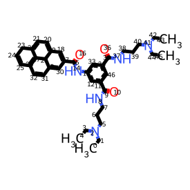 CCN(CC)CCCNC(=O)c1cc(NC(=O)C2=CC3=CC=C4CC=CC5=C4C3C(=C2)C=C5)cc(C(=O)NCCCN(CC)CC)c1